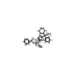 C[N+](C)(CC(=O)c1ccccc1)Cc1cnc(C(O)(c2ccccc2)C2CCCCC2)o1.[Br-]